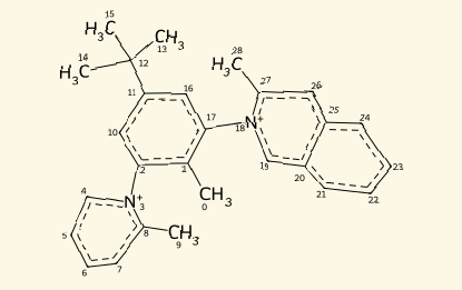 Cc1c(-[n+]2ccccc2C)cc(C(C)(C)C)cc1-[n+]1cc2ccccc2cc1C